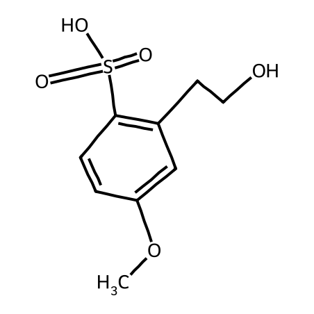 COc1ccc(S(=O)(=O)O)c(CCO)c1